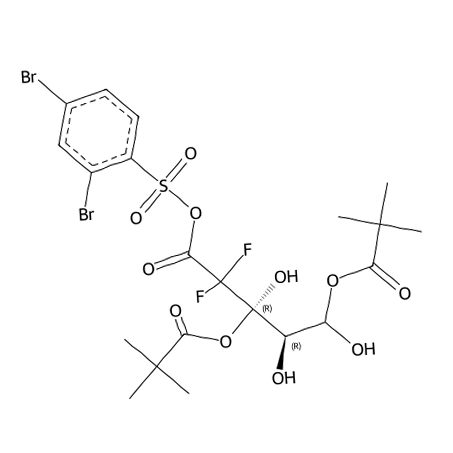 CC(C)(C)C(=O)OC(O)[C@@H](O)[C@@](O)(OC(=O)C(C)(C)C)C(F)(F)C(=O)OS(=O)(=O)c1ccc(Br)cc1Br